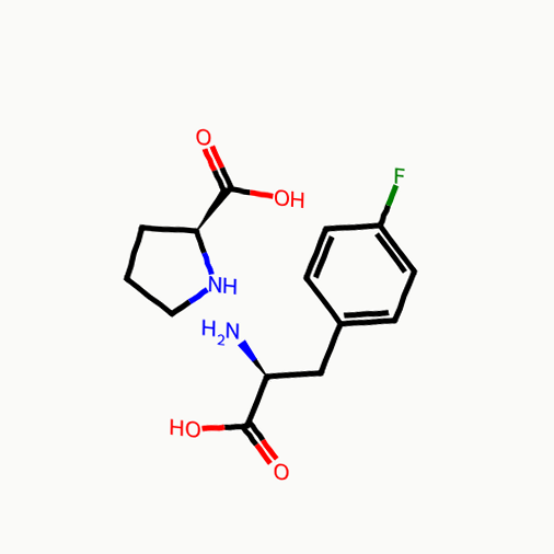 N[C@@H](Cc1ccc(F)cc1)C(=O)O.O=C(O)[C@@H]1CCCN1